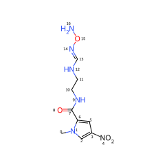 Cn1cc([N+](=O)[O-])cc1C(=O)NCCNC=NON